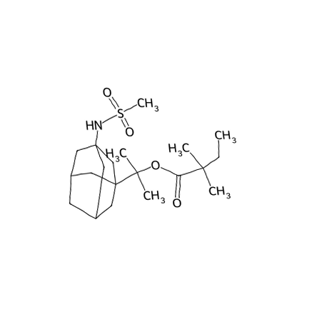 CCC(C)(C)C(=O)OC(C)(C)C12CC3CC(CC(NS(C)(=O)=O)(C3)C1)C2